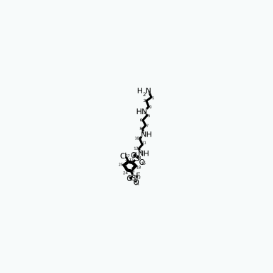 NCCCNCCCCNCCCNS(=O)(=O)c1cc(S(=O)(=O)F)ccc1Cl